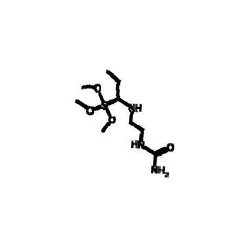 CCC(NCCNC(N)=O)[Si](OC)(OC)OC